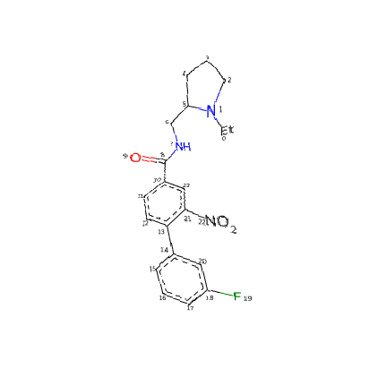 CCN1CCCC1CNC(=O)c1ccc(-c2cccc(F)c2)c([N+](=O)[O-])c1